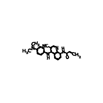 C=CC(=O)Nc1cccc2c(Nc3ccc(N(C)C)cc3)c(C#N)cnc12